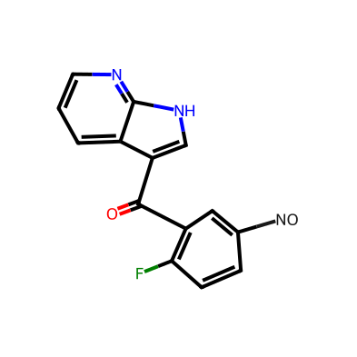 O=Nc1ccc(F)c(C(=O)c2c[nH]c3ncccc23)c1